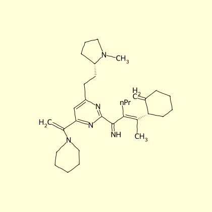 C=C1CCCC[C@@H]1/C(C)=C(\CCC)C(=N)c1nc(CC[C@@H]2CCCN2C)cc(C(=C)N2CCCCC2)n1